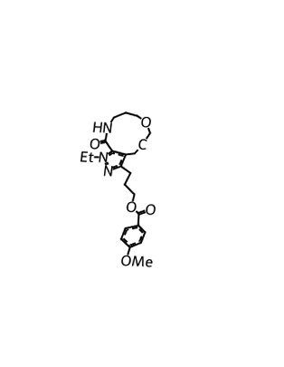 CCn1nc(CCCOC(=O)c2ccc(OC)cc2)c2c1C(=O)NCCCOCCC2